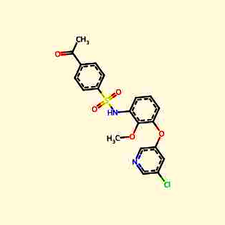 COc1c(NS(=O)(=O)c2ccc(C(C)=O)cc2)cccc1Oc1cncc(Cl)c1